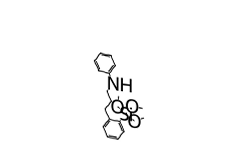 CO[Si](OC)(OC)c1ccccc1CCCNc1ccccc1